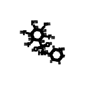 O=S(=O)(Nc1cccnc1)c1c(F)c(F)c(F)c(F)c1F